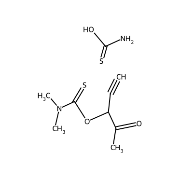 C#CC(OC(=S)N(C)C)C(C)=O.NC(O)=S